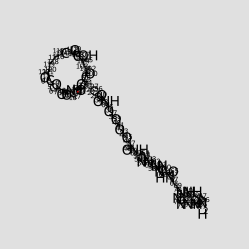 CO[C@H]1CC2CCCC(O2)C(=O)C(=O)N2CCCC[C@H]2C(=O)O[C@H](CC[C@H]2CC[C@H](OC(=O)NCCOCCOCCOCCOCCC(=O)NCc3cnc(N4CCN(c5ncc(C(=O)NCCCCNc6ncnc(N)c6C(=N)c6cnc7[nH]ccc7c6)cn5)CC4)nc3)CC2)CC(=O)[C@H](C)/C=C(\C)[C@@H](O)CC(=O)[C@H](C)C[C@H](C)/C=C/C=C/C=C/1C